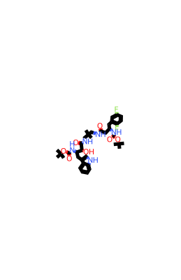 CC(C)(CNC(=O)CC(Cc1cc(F)ccc1F)NC(=O)OC(C)(C)C)CNC(=O)C(O)C(Cc1c[nH]c2ccccc12)NC(=O)OC(C)(C)C